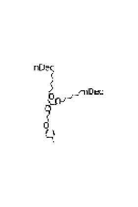 CCCCCCCCCCCCCCCCOCC(COCCCCCCCCCCCCCCCC)OCCCOc1ccc(C)cc1